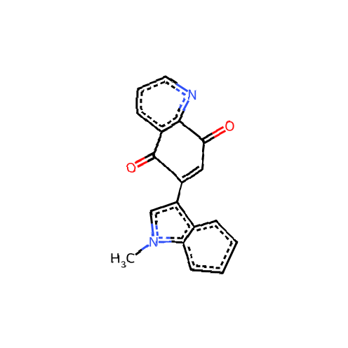 Cn1cc(C2=CC(=O)c3ncccc3C2=O)c2ccccc21